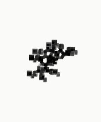 CNC(=O)[C@H](CC(C)C)N(C)C(O)[C@H](C)N[C@](C)(C=O)N1C(=O)[C@@H](NC)CC1C